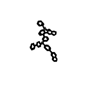 c1ccc(-c2ccc(N(c3ccc(-c4ccc5ccccc5c4)cc3)c3cccc(-c4cccc5c4c4cc6ccccc6cc4n5-c4ccccc4)c3)cc2)cc1